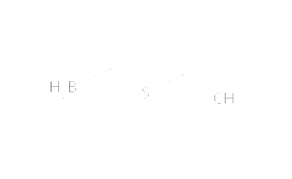 BCSCC